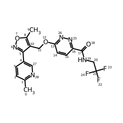 Cc1ccc(-c2noc(C)c2COc2ccc(C(=O)NCC(F)(F)F)nn2)cn1